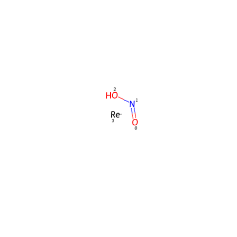 O=NO.[Re]